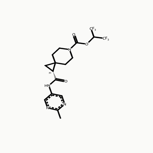 Cc1ncc(NC(=O)[C@@H]2CC23CCN(C(=O)OC(C(F)(F)F)C(F)(F)F)CC3)cn1